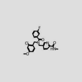 CNC(=O)c1ccc(CN(Cc2ccc(OC)cc2Cl)C(=O)c2cccc(F)c2)cn1